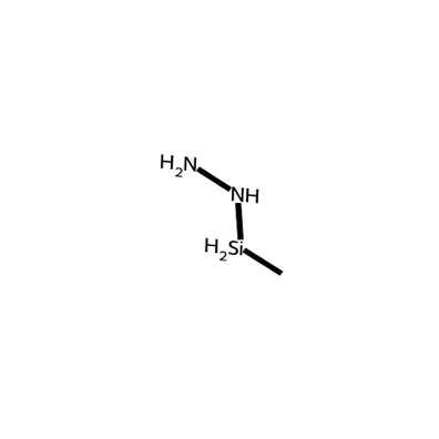 C[SiH2]NN